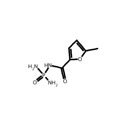 Cc1ccc(C(=O)NP(N)(N)=O)o1